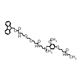 CCNC(=O)CCCOc1ccc(CN(C)CCNC(=O)CCOCCOCCNC(=O)OCC2c3ccccc3-c3ccccc32)c(OC)c1